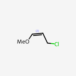 CO/C=C\CCl